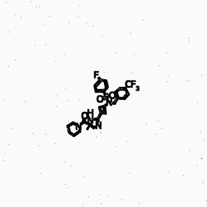 C[C@]1(C(=O)N2CCCCC2)CN=C(C23CC(N(Cc4ccc(C(F)(F)F)cc4)S(=O)(=O)c4ccc(F)cc4)(C2)C3)N1